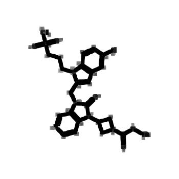 CC(C)(C)OC(=O)N1CC(n2c(=O)n(Cc3cc4cc(Cl)ccc4n3CCCS(C)(=O)=O)c3cnccc32)C1